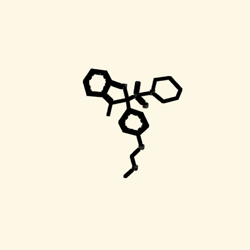 COCOc1ccc(C2(S(=O)(=O)N3CCCCC3)N=c3ccccc3=C2C)cc1